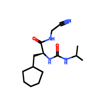 CC(C)NC(=O)N[C@@H](CC1CCCCC1)C(=O)NCC#N